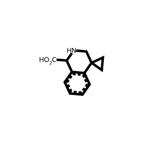 O=C(O)C1NCC2(CC2)c2ccccc21